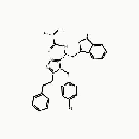 CCc1ccc(Cn2c(CCc3ccccc3)nnc2[C@@H](Cc2c[nH]c3ccccc23)NC(=O)[C@H](C)N)cc1